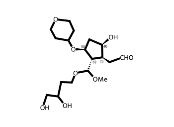 COC(OCCC(O)CO)[C@H]1[C@H](CC=O)[C@H](O)C[C@@H]1OC1CCOCC1